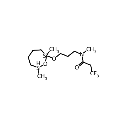 CN(CCCO[Si]1(C)CCCC[SiH](C)O1)C(=O)CC(F)(F)F